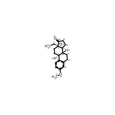 CC[C@]12CC[C@@H]3c4ccc(OC)cc4CC[C@H]3[C@@H]1CCC2=O